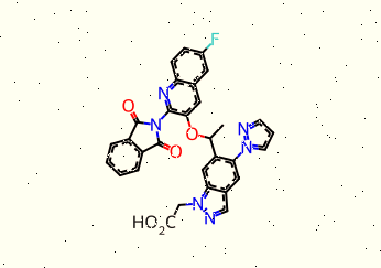 CC(Oc1cc2cc(F)ccc2nc1N1C(=O)c2ccccc2C1=O)c1cc2c(cnn2CC(=O)O)cc1-n1cccn1